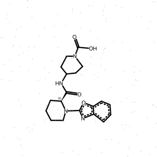 O=C(NC1CCN(C(=O)O)CC1)[C@@H]1CCCCN1c1nc2ccccc2o1